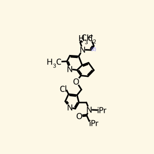 C=CN(/C=C\C)c1cc(C)nc2c(OCc3c(Cl)cncc3CN(C(=O)C(C)C)C(C)C)cccc12